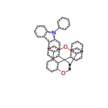 c1ccc(-c2cccc3c2C2(c4ccccc4Oc4ccccc42)c2c(cccc2-c2ccc4c(c2)c2ccccc2n4-c2ccccc2)O3)cc1